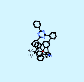 CC1(C)c2ccccc2C2(c3ccccc3-c3cc(-c4ccccc4-c4nc(-c5ccccc5)nc(-c5cccc(-c6cccc(C#N)c6)c5)n4)ccc32)c2ccccc21